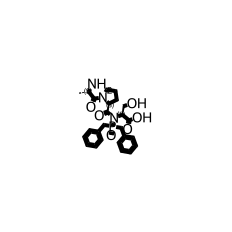 C[C@H](N)C(=O)N1CCC[C@H]1C(=O)N([C@@H](CO)C(=O)O)P(=O)(Cc1ccccc1)Cc1ccccc1